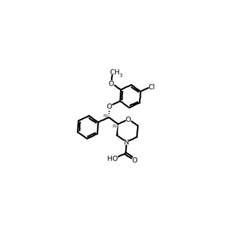 COc1cc(Cl)ccc1O[C@@H](c1ccccc1)[C@@H]1CN(C(=O)O)CCO1